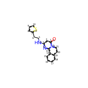 O=c1cc(NCCc2cccs2)nc2c3ccccc3ccn12